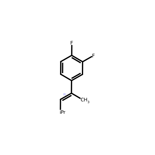 C/C(=C\C(C)C)c1ccc(F)c(F)c1